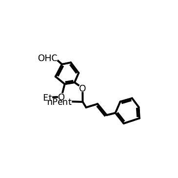 CCCCCC(CC=Cc1ccccc1)Oc1ccc(C=O)cc1OCC